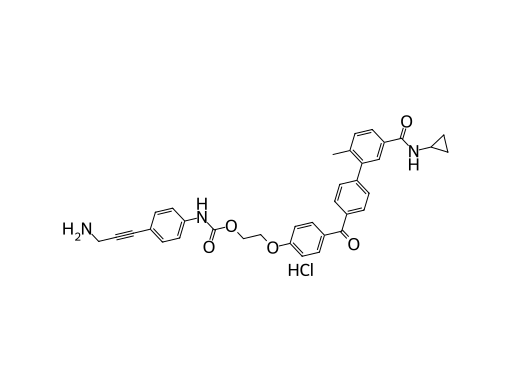 Cc1ccc(C(=O)NC2CC2)cc1-c1ccc(C(=O)c2ccc(OCCOC(=O)Nc3ccc(C#CCN)cc3)cc2)cc1.Cl